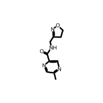 Cc1cnc(C(=O)NCC2=NOCC2)cn1